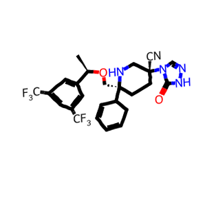 C[C@@H](OC[C@@]1(C2C=CC=CC2)CC[C@@](C#N)(n2cn[nH]c2=O)CN1)c1cc(C(F)(F)F)cc(C(F)(F)F)c1